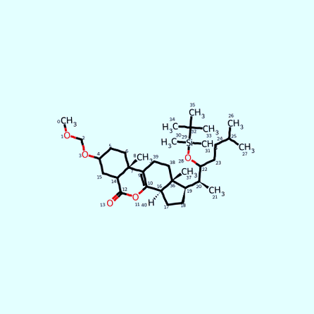 COCOC1CC[C@]2(C)C3=C(OC(=O)C2C1)[C@@H]1CC[C@H]([C@H](C)C(CCC(C)C)O[Si](C)(C)C(C)(C)C)[C@@]1(C)CC3